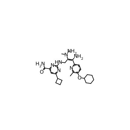 Cc1nc(/C(N)=C(\CNc2nc(C(N)=O)cc(C3CCC3)n2)N(C)N)ccc1OC1CCCCC1